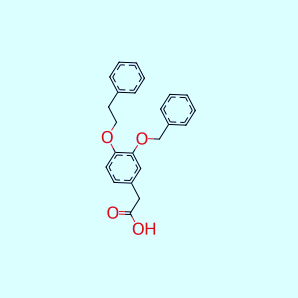 O=C(O)Cc1ccc(OCCc2ccccc2)c(OCc2ccccc2)c1